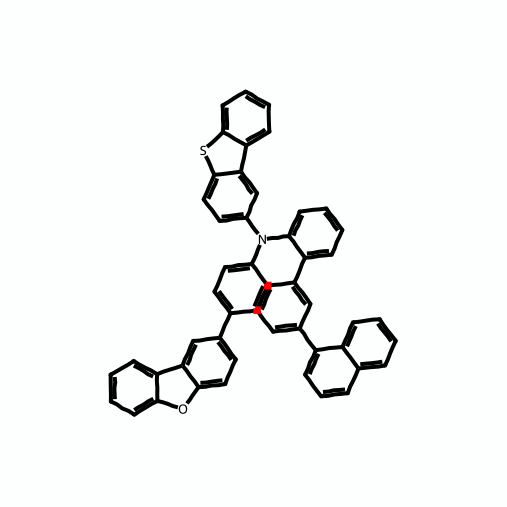 c1cc(-c2ccccc2N(c2ccc(-c3ccc4oc5ccccc5c4c3)cc2)c2ccc3sc4ccccc4c3c2)cc(-c2cccc3ccccc23)c1